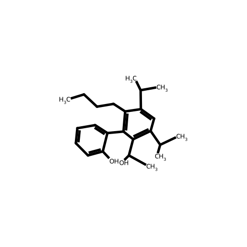 CCCCc1c(C(C)C)cc(C(C)C)c(C(C)O)c1-c1ccccc1O